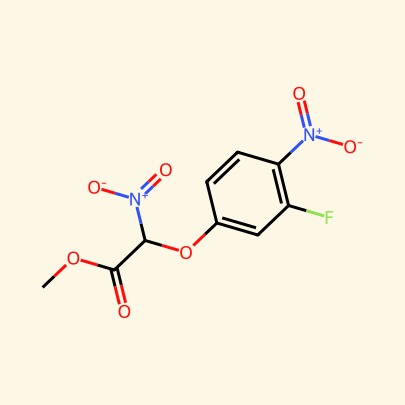 COC(=O)C(Oc1ccc([N+](=O)[O-])c(F)c1)[N+](=O)[O-]